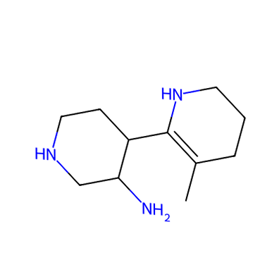 CC1=C(C2CCNCC2N)NCCC1